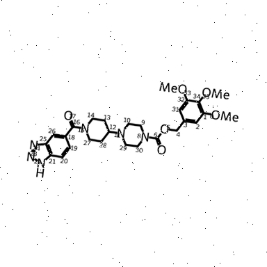 COc1cc(COC(=O)N2CCN(C3CCN(C(=O)c4ccc5[nH]nnc5c4)CC3)CC2)cc(OC)c1OC